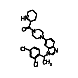 CC(c1ccc(Cl)cc1Cl)n1cnc2ccc(N3CCN(C(=O)C4CCCCN4)CC3)cc21